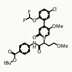 COCCC(C(=O)Nc1ccc(C(=O)OC(C)(C)C)cc1)n1cc(OC)c(-c2cc(Cl)ccc2OC(F)F)cc1=O